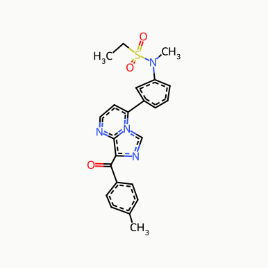 CCS(=O)(=O)N(C)c1cccc(-c2ccnc3c(C(=O)c4ccc(C)cc4)ncn23)c1